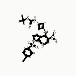 Cc1ccc(S(=O)(=O)n2ccc3c(N[C@H]4C[C@H](NC(=O)OC(C)(C)C)C4)c([N+](=O)[O-])cnc32)cc1